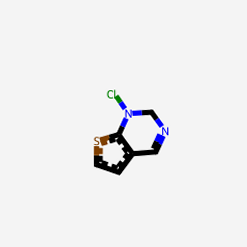 ClN1CN=Cc2ccsc21